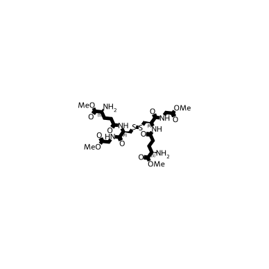 COC(=O)CNC(=O)[C@H](CSSC[C@H](NC(=O)CC[C@H](N)C(=O)OC)C(=O)NCC(=O)OC)NC(=O)CC[C@H](N)C(=O)OC